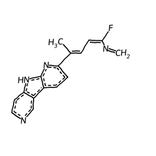 C=N/C(F)=C\C=C(/C)c1ccc2c(n1)[nH]c1ccncc12